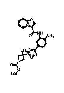 Cc1ccc(-c2noc(C3(C)CN(C(=O)OC(C)(C)C)C3)n2)cc1NC(=O)c1cnc2ccccn12